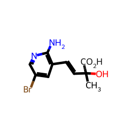 CC(O)(C=Cc1cc(Br)cnc1N)C(=O)O